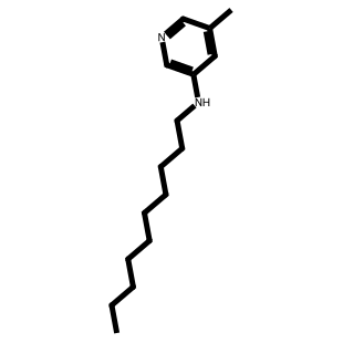 CCCCCCCCCCNc1cncc(C)c1